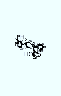 C=Cc1cc(N2CCN(Cc3cc(C(=O)O)c(=O)n4ccccc34)CC2)ccn1